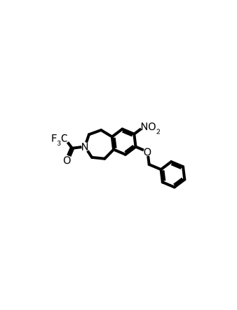 O=C(N1CCc2cc(OCc3ccccc3)c([N+](=O)[O-])cc2CC1)C(F)(F)F